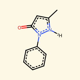 [2H]n1c(C)cc(=O)n1-c1ccccc1